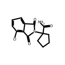 NC(=O)C1(N2C(=O)c3cccc(Cl)c3C2=O)CCCC1